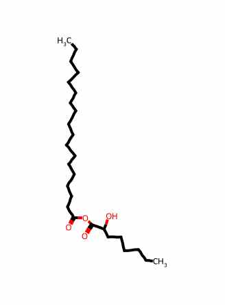 CCCCCCCCCCCCCCCCCC(=O)OC(=O)C(O)CCCCCC